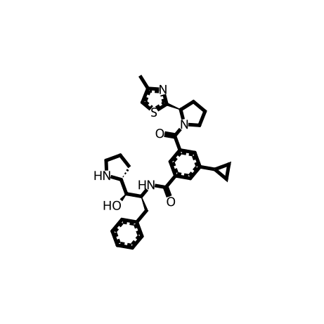 Cc1csc([C@H]2CCCN2C(=O)c2cc(C(=O)N[C@@H](Cc3ccccc3)[C@@H](O)[C@H]3CCCN3)cc(C3CC3)c2)n1